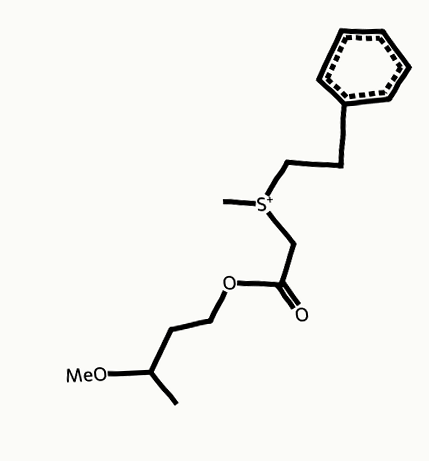 COC(C)CCOC(=O)C[S+](C)CCc1ccccc1